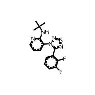 CC(C)(C)Nc1ncccc1-n1nnnc1-c1cccc(F)c1F